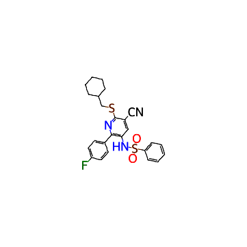 N#Cc1cc(NS(=O)(=O)c2ccccc2)c(-c2ccc(F)cc2)nc1SCC1CCCCC1